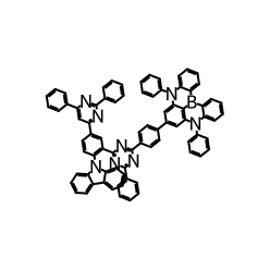 c1ccc(-c2cc(-c3ccc(-n4c5ccccc5c5ccccc54)c(-c4nc(-c5ccccc5)nc(-c5ccc(-c6cc7c8c(c6)N(c6ccccc6)c6ccccc6B8c6ccccc6N7c6ccccc6)cc5)n4)c3)nc(-c3ccccc3)n2)cc1